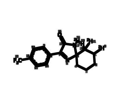 [2H]C1CCCC2(N=C(c3ccc(C(F)(F)F)cc3)C(=O)N2[2H])C1([2H])[2H]